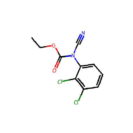 CCOC(=O)N(C#N)c1cccc(Cl)c1Cl